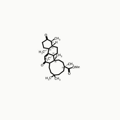 COC(=O)[C@@]1(C)CCC(C)(C)CCC2C(=O)C=C3[C@@]4(C)CCC(=O)[C@@H](C)[C@@H]4CC[C@@]3(C)[C@]2(C)CC1